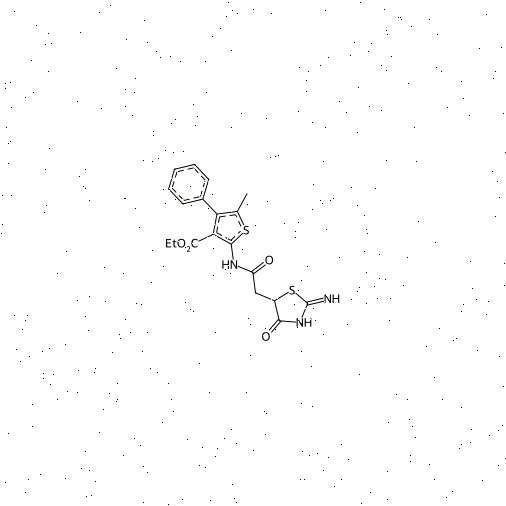 CCOC(=O)c1c(NC(=O)CC2SC(=N)NC2=O)sc(C)c1-c1ccccc1